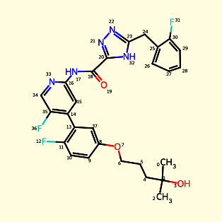 CC(C)(O)CCCOc1ccc(F)c(-c2cc(NC(=O)c3nnc(Cc4ccccc4F)[nH]3)ncc2F)c1